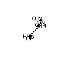 O=C(CCCCCCC(=O)Nc1ncc([N+](=O)[O-])s1)NO